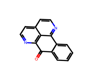 O=C1c2ccccc2-c2nccc3ccnc1c23